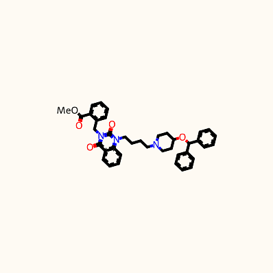 COC(=O)c1ccccc1Cn1c(=O)c2ccccc2n(CCCCN2CCC(OC(c3ccccc3)c3ccccc3)CC2)c1=O